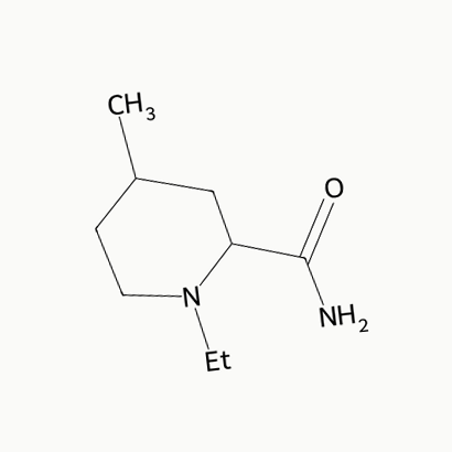 CCN1CCC(C)CC1C(N)=O